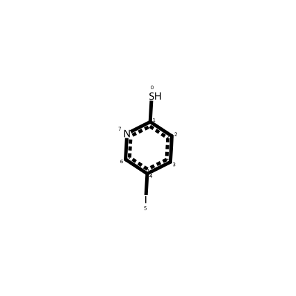 Sc1ccc(I)cn1